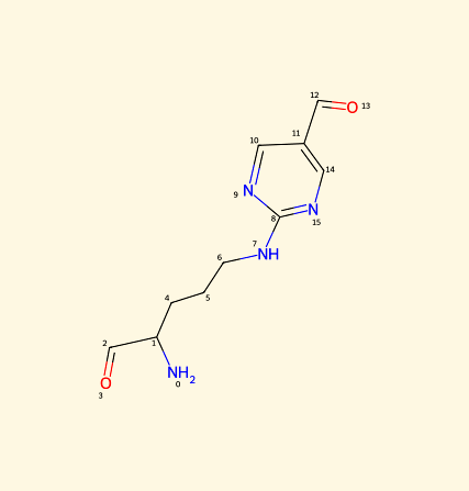 NC(C=O)CCCNc1ncc(C=O)cn1